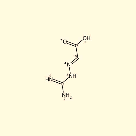 N=C(N)NN=CC(=O)O